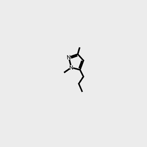 CCCc1cc(C)nn1C